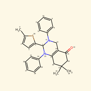 Cc1ccc(C2N(c3ccccc3)CC3=C(CC(C)(C)CC3=O)N2c2ccccc2)s1